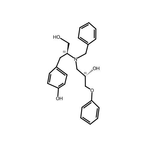 OC[C@H](Cc1ccc(O)cc1)N(Cc1ccccc1)C[C@H](O)COc1ccccc1